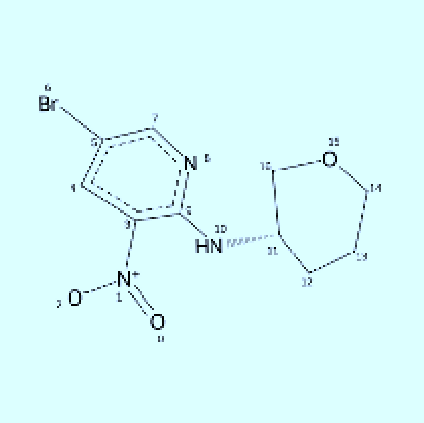 O=[N+]([O-])c1cc(Br)cnc1N[C@H]1CCCOC1